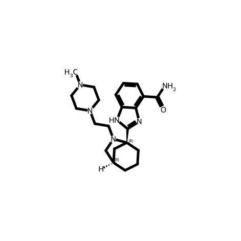 CN1CCN(CCN2C[C@@H]3CCC[C@]2(c2nc4c(C(N)=O)cccc4[nH]2)C3)CC1